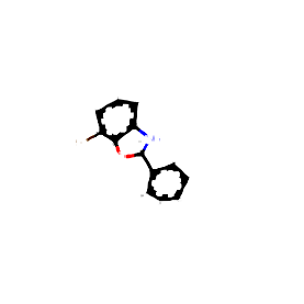 Brc1cccc2c1OC(c1ccccc1)N2